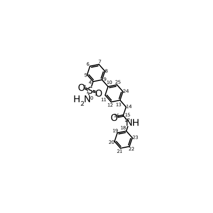 NS(=O)(=O)c1ccccc1-c1ccc(CC(=O)Nc2ccccc2)cc1